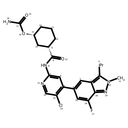 CC(C)c1c2cc(-c3cc(NC(=O)[C@H]4CCC[C@@H](OC(N)=O)C4)ncc3Cl)cc(F)c2nn1C